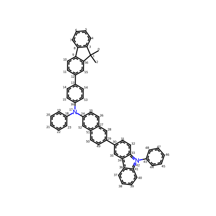 CC1(C)c2ccccc2-c2ccc(-c3ccc(N(c4ccccc4)c4ccc5cc(-c6ccc7c(c6)c6ccccc6n7-c6ccccc6)ccc5c4)cc3)cc21